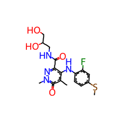 CSc1ccc(Nc2c(C(=O)NCC(O)CO)nn(C)c(=O)c2C)c(F)c1